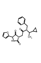 CC(C1CC1)N(Cc1ccccc1)C(=O)CN1C(=O)NC(c2ccco2)C1=O